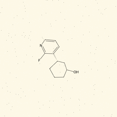 OC1CCC[C@H](c2cccnc2F)C1